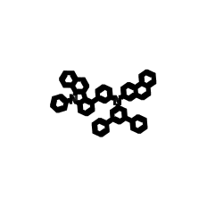 c1ccc(-c2cc(-c3ccccc3)cc(N(c3cccc(-c4cccc5c4c4ccc6ccccc6c4n5-c4ccccc4)c3)c3ccc4c(ccc5ccccc54)c3)c2)cc1